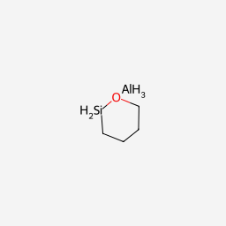 C1CC[SiH2]OC1.[AlH3]